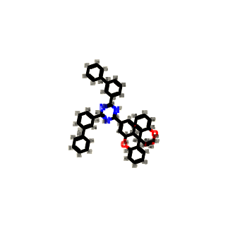 C1=CC2C(C=C1c1nc(-c3cccc(-c4ccccc4)c3)nc(-c3cccc(-c4ccccc4)c3)n1)Oc1ccccc1C21c2ccccc2Oc2ccccc21